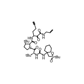 C#CCCC(NC(=O)C1C(C(C)(C)C)CCN1C(=O)[C@@H](NC(=O)NC1(CS(=O)(=O)C(C)(C)C)CCCCC1)C(C)(C)C)C(=O)C(=O)NCC=C